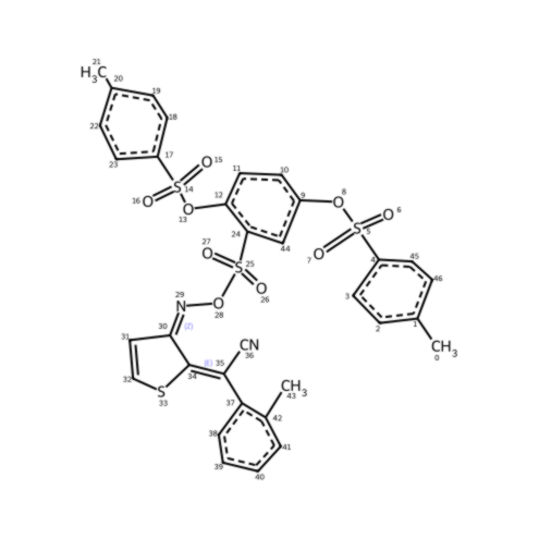 Cc1ccc(S(=O)(=O)Oc2ccc(OS(=O)(=O)c3ccc(C)cc3)c(S(=O)(=O)O/N=C3/C=CS/C3=C(/C#N)c3ccccc3C)c2)cc1